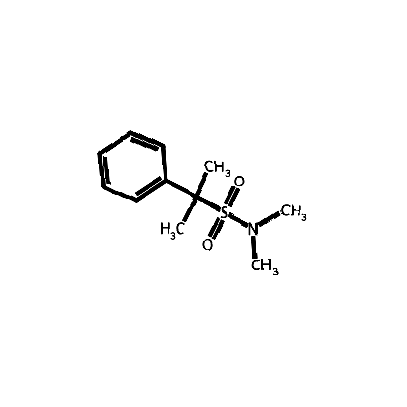 CN(C)S(=O)(=O)C(C)(C)c1ccccc1